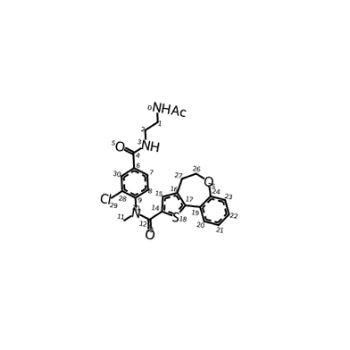 CC(=O)NCCNC(=O)c1ccc(N(C)C(=O)c2cc3c(s2)-c2ccccc2OCC3)c(Cl)c1